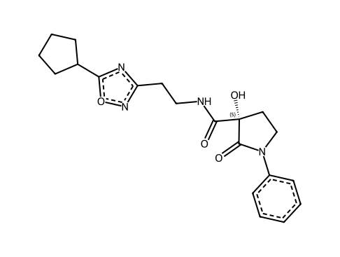 O=C(NCCc1noc(C2CCCC2)n1)[C@@]1(O)CCN(c2ccccc2)C1=O